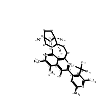 Cc1nc(N)cc(-c2nc3c4c(nc(C)c(C)c4c2F)N2C[C@H]4CC[C@H](N4)[C@H]2CC3)c1C(F)(F)F